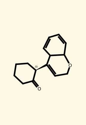 O=C1CCCC[C@H]1C1=CCOC2C=CC=CC12